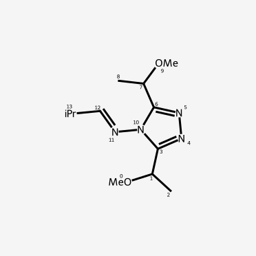 COC(C)c1nnc(C(C)OC)n1N=CC(C)C